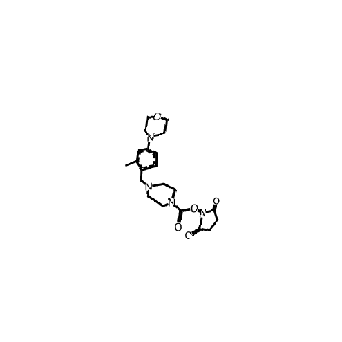 Cc1cc(N2CCOCC2)ccc1CN1CCN(C(=O)ON2C(=O)CCC2=O)CC1